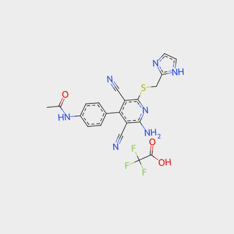 CC(=O)Nc1ccc(-c2c(C#N)c(N)nc(SCc3ncc[nH]3)c2C#N)cc1.O=C(O)C(F)(F)F